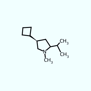 CC(C)C1C[C@H](C2CCC2)CN1C